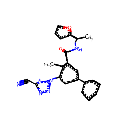 Cc1c(C(=O)NC(C)c2ccco2)cc(-c2ccccc2)cc1-n1nnc(C#N)n1